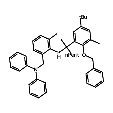 CCCCCC(C)(Pc1c(C)cccc1CN(c1ccccc1)c1ccccc1)c1cc(C(C)(C)C)cc(C)c1OCc1ccccc1